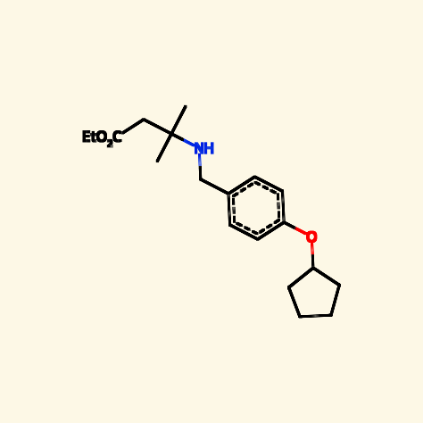 CCOC(=O)CC(C)(C)NCc1ccc(OC2CCCC2)cc1